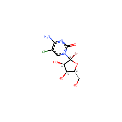 Nc1nc(=O)n([C@]2(Br)O[C@H](CO)[C@@H](O)[C@H]2O)cc1Cl